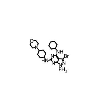 Pn1nc(Br)c2c(NC3CCCCC3)nc(NC3CCC(N4CCOCC4)CC3)nc21